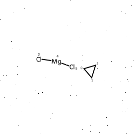 [CH]1CC1.[Cl][Mg][Cl]